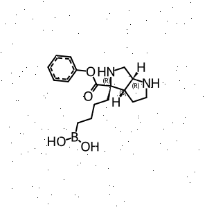 O=C(Oc1ccccc1)[C@]1(CCCCB(O)O)NC[C@@H]2NCC[C@@H]21